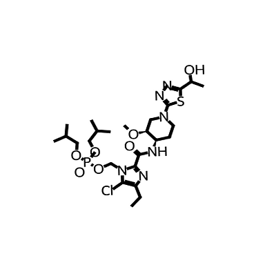 CCc1nc(C(=O)N[C@@H]2CCN(c3nnc(C(C)O)s3)C[C@@H]2OC)n(COP(=O)(OCC(C)C)OCC(C)C)c1Cl